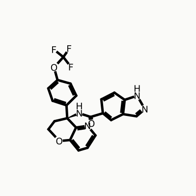 O=C(N[C@]1(c2ccc(OC(F)(F)F)cc2)CCOc2cccnc21)c1ccc2[nH]ncc2c1